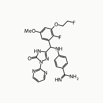 COc1cc(OCCF)c(F)c(C(Nc2ccc(C(=N)N)cc2)c2nn(-c3ncccn3)c(=O)[nH]2)c1